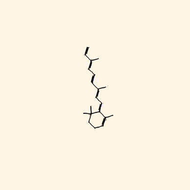 C=C/C(C)=C/C=C/C(C)=C/C=C1/C(C)=CCCC1(C)C